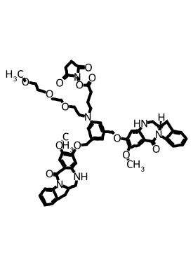 COCCOCCOCCN(CCCC(=O)ON1C(=O)CCC1=O)c1cc(COc2cc3c(cc2OC)C(=O)N2c4ccccc4CC2CN3)cc(COc2cc3c(cc2OC)C(=O)N2c4ccccc4C[C@H]2CN3)c1